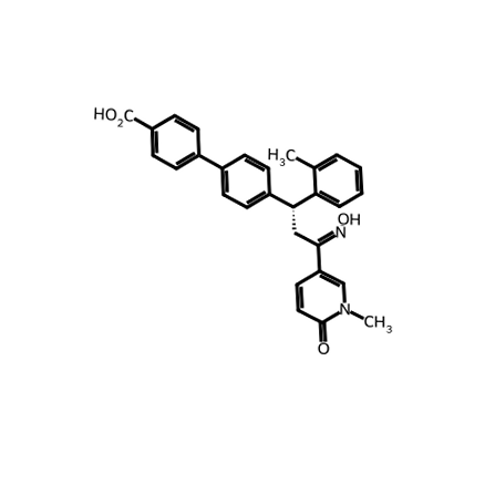 Cc1ccccc1[C@H](C/C(=N\O)c1ccc(=O)n(C)c1)c1ccc(-c2ccc(C(=O)O)cc2)cc1